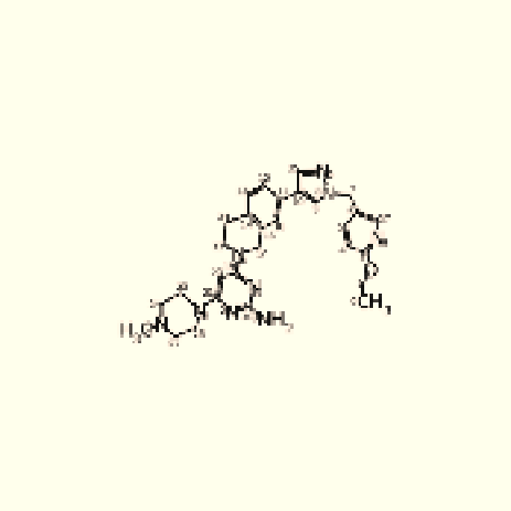 CCOc1ccc(Cn2cc(-c3ccc4c(c3)CN(c3cc(N5CCN(C)CC5)nc(N)n3)CC4)cn2)cn1